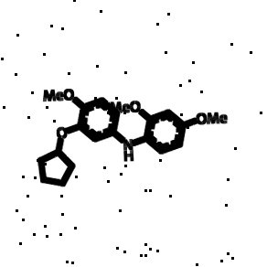 COc1ccc(Nc2ccc(OC)c(OC3CCCC3)c2)c(OC)c1